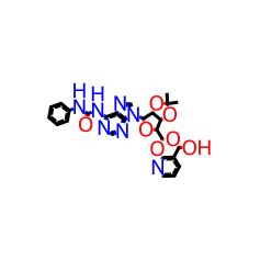 CC1(C)OC2C(COc3ncccc3C(=O)O)OC(n3cnc4c(NC(=O)Nc5ccccc5)ncnc43)C2O1